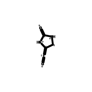 O=C=C1CNC(=O)N1